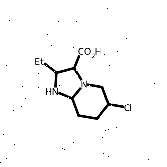 CCC1NC2CCC(Cl)CN2C1C(=O)O